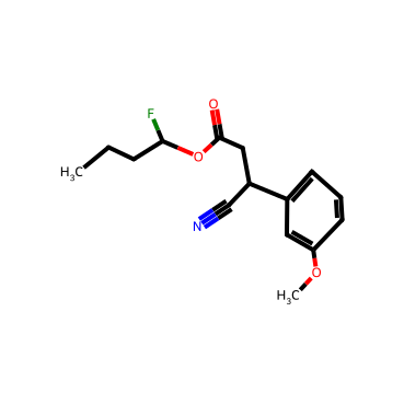 CCCC(F)OC(=O)CC(C#N)c1cccc(OC)c1